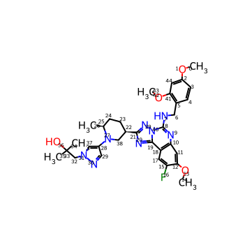 COc1ccc(CNc2nc3cc(OC)c(F)cc3c3nc([C@@H]4CC[C@H](C)N(c5cnn(CC(C)(C)O)c5)C4)nn23)c(OC)c1